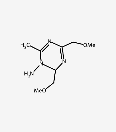 COCC1=NC(COC)N(N)C(C)=N1